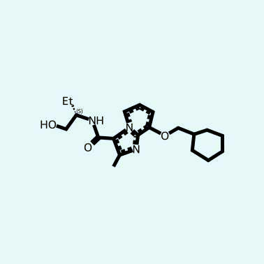 CC[C@@H](CO)NC(=O)c1c(C)nc2c(OCC3CCCCC3)cccn12